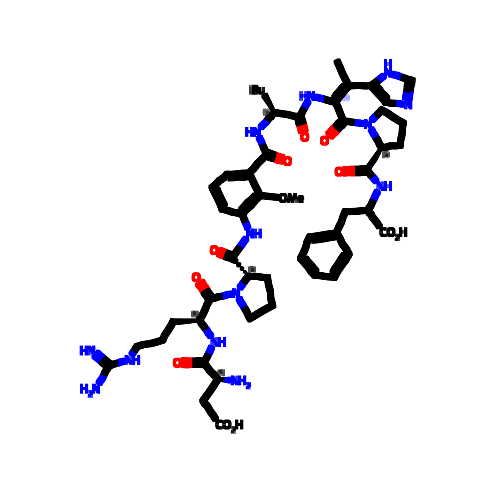 CCC(C)[C@H](NC(=O)c1cccc(NC(=O)[C@@H]2CCCN2C(=O)[C@H](CCCNC(=N)N)NC(=O)[C@@H](N)CC(=O)O)c1OC)C(=O)N/C(C(=O)N1CCC[C@H]1C(=O)NC(Cc1ccccc1)C(=O)O)=C(\C)c1cnc[nH]1